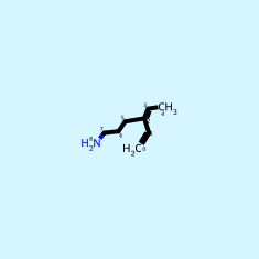 C=C/C(=C\C)CCCN